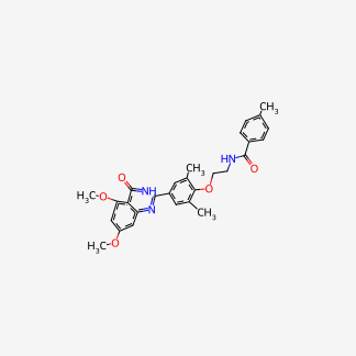 COc1cc(OC)c2c(=O)[nH]c(-c3cc(C)c(OCCNC(=O)c4ccc(C)cc4)c(C)c3)nc2c1